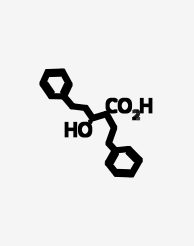 O=C(O)[C@H](CCc1ccccc1)[C@H](O)CCc1ccccc1